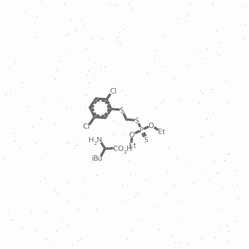 CCC(C)C(N)C(=O)O.CCOP(=S)(OCC)SCSc1cc(Cl)ccc1Cl